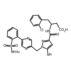 CCCc1cc(C(=O)NC(CC(=O)O)Cc2ccccc2Cl)nn1Cc1cnc(-c2ccccc2S(=O)(=O)NC(C)=O)cn1